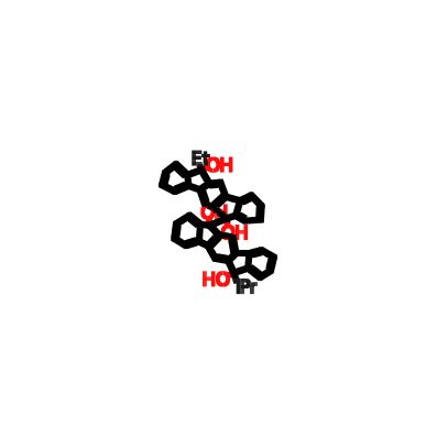 CCC1(O)c2ccccc2-c2cc3c(cc21)-c1ccccc1C3(O)C1(O)c2ccccc2-c2cc3c(cc21)-c1ccccc1C3(O)C(C)C